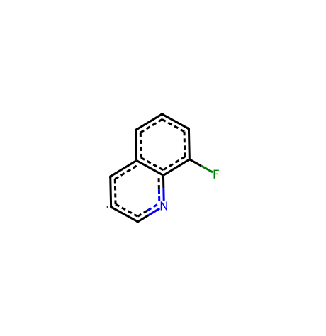 Fc1cccc2c[c]cnc12